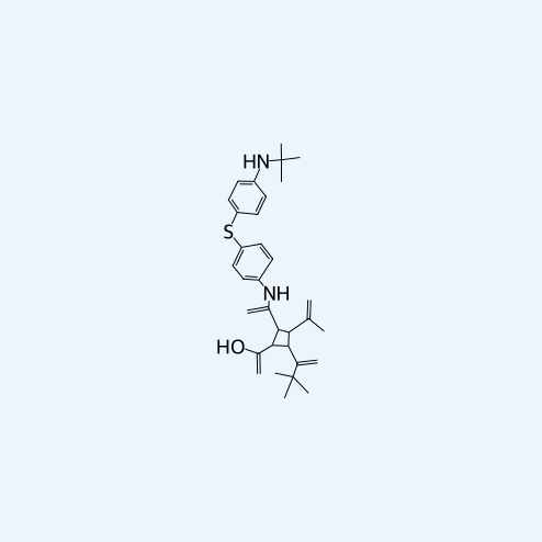 C=C(C)C1C(C(=C)Nc2ccc(Sc3ccc(NC(C)(C)C)cc3)cc2)C(C(=C)O)C1C(=C)C(C)(C)C